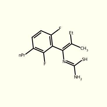 CCCc1ccc(F)c(C(/N=C(/N)S)=C(/C)CC)c1F